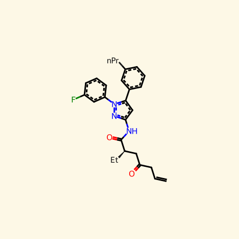 C=CCC(=O)C[C@@H](CC)C(=O)Nc1cc(-c2cccc(CCC)c2)n(-c2cccc(F)c2)n1